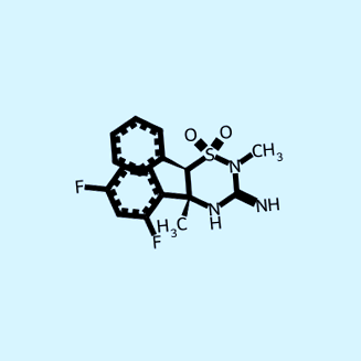 CN1C(=N)N[C@](C)(c2ccc(F)cc2F)[C@@H](c2ccccc2)S1(=O)=O